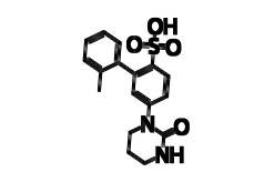 Cc1ccccc1-c1cc(N2CCCNC2=O)ccc1S(=O)(=O)O